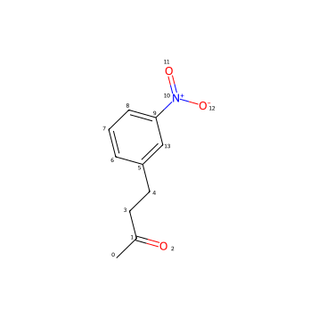 CC(=O)CCc1cccc([N+](=O)[O-])c1